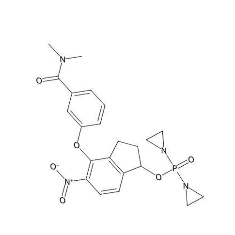 CN(C)C(=O)c1cccc(Oc2c([N+](=O)[O-])ccc3c2CCC3OP(=O)(N2CC2)N2CC2)c1